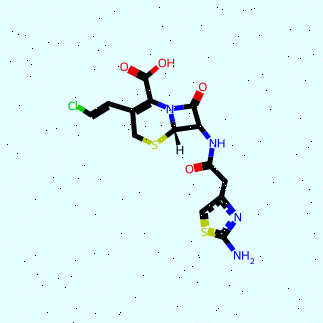 Nc1nc(CC(=O)NC2C(=O)N3C(C(=O)O)=C(/C=C/Cl)CS[C@@H]23)cs1